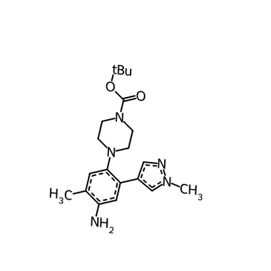 Cc1cc(N2CCN(C(=O)OC(C)(C)C)CC2)c(-c2cnn(C)c2)cc1N